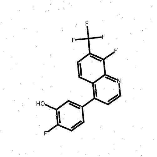 Oc1cc(-c2ccnc3c(F)c(C(F)(F)F)ccc23)ccc1F